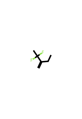 C=C(CC)C(C)(F)F